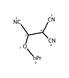 CCCOC(C#N)C(C#N)C#N